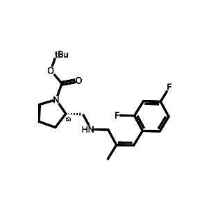 CC(=Cc1ccc(F)cc1F)CNC[C@@H]1CCCN1C(=O)OC(C)(C)C